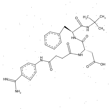 CC(C)(C)NC(=O)[C@H](Cc1ccccc1)NC(=O)[C@H](CC(=O)O)NC(=O)CCC(=O)Nc1ccc(C(=N)N)cc1